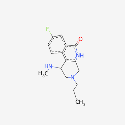 CCCN1Cc2[nH]c(=O)c3cc(F)ccc3c2C(NC)C1